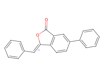 O=C1O/C(=C\c2ccccc2)c2ccc(-c3ccccc3)cc21